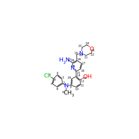 CN(c1ccc(Cl)cc1)c1ccc(O)c(-c2ccc(CN3CCOCC3)c(N)n2)c1